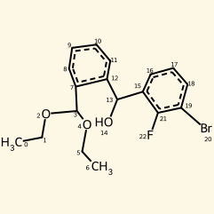 CCOC(OCC)c1ccccc1C(O)c1cccc(Br)c1F